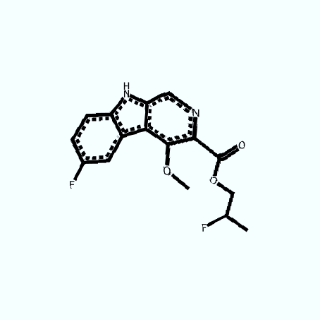 COc1c(C(=O)OCC(C)F)ncc2[nH]c3ccc(F)cc3c12